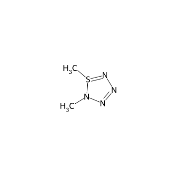 CN1N=NN=S1C